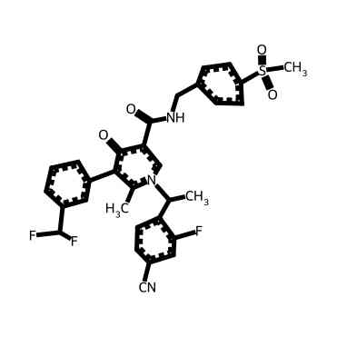 Cc1c(-c2cccc(C(F)F)c2)c(=O)c(C(=O)NCc2ccc(S(C)(=O)=O)cc2)cn1C(C)c1ccc(C#N)cc1F